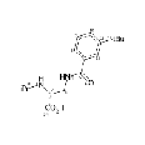 CC(C)N[C@H](CNC(=O)c1cccc(C(C)(C)C)c1)C(=O)O